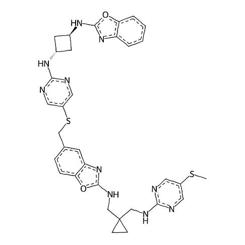 CSc1cnc(NCC2(CNc3nc4cc(CSc5cnc(N[C@H]6C[C@H](Nc7nc8ccccc8o7)C6)nc5)ccc4o3)CC2)nc1